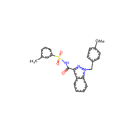 COc1ccc(Cn2nc(C(=O)NS(=O)(=O)c3cccc(C)c3)c3ccccc32)cc1